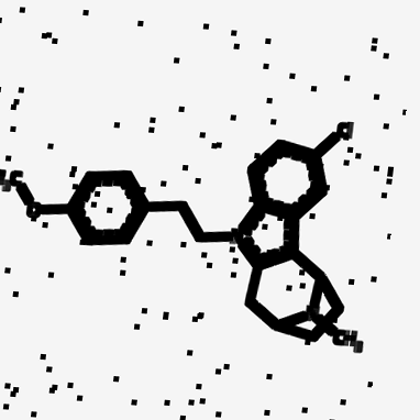 COc1ccc(CCn2c3c(c4cc(Cl)ccc42)C2CCC(C3)N2C)cc1